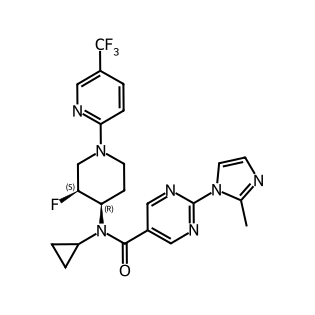 Cc1nccn1-c1ncc(C(=O)N(C2CC2)[C@@H]2CCN(c3ccc(C(F)(F)F)cn3)C[C@@H]2F)cn1